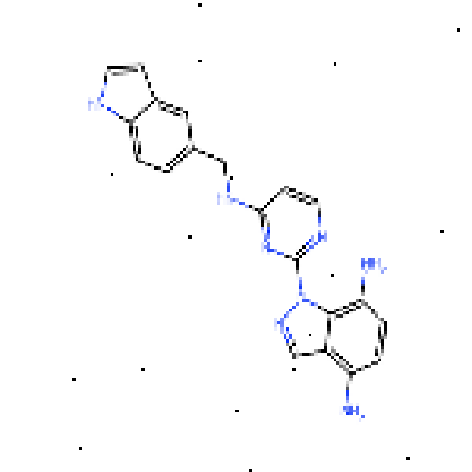 Nc1ccc(N)c2c1cnn2-c1nccc(NCc2ccc3[nH]ccc3c2)n1